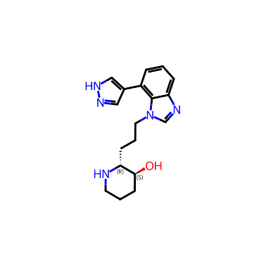 O[C@H]1CCCN[C@@H]1CCCn1cnc2cccc(-c3cn[nH]c3)c21